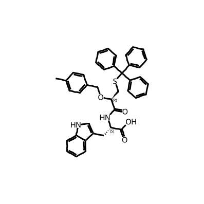 Cc1ccc(CO[C@@H](CSC(c2ccccc2)(c2ccccc2)c2ccccc2)C(=O)N[C@@H](Cc2c[nH]c3ccccc23)C(=O)O)cc1